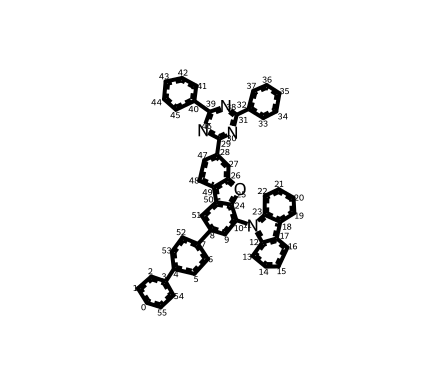 c1ccc(-c2ccc(-c3cc(-n4c5ccccc5c5ccccc54)c4oc5cc(-c6nc(-c7ccccc7)nc(-c7ccccc7)n6)ccc5c4c3)cc2)cc1